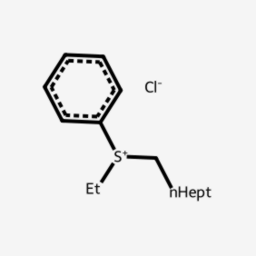 CCCCCCCC[S+](CC)c1ccccc1.[Cl-]